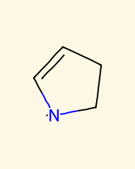 C1=C[N]CC1